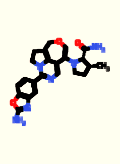 C[C@H]1CCN(C2=COCC3=C4C2=CN=C(c2ccc5oc(N)nc5c2)N4CC3)[C@@H]1C(N)=O